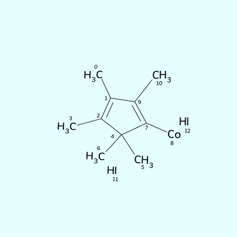 CC1=C(C)C(C)(C)[C]([Co])=C1C.I.I